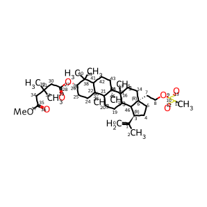 C=C(C)[C@@H]1CC[C@]2(CCOS(C)(=O)=O)CC[C@]3(C)C(CCC4[C@@]5(C)CC[C@H](OC(=O)CC(C)(C)CC(=O)OC)C(C)(C)C5CC[C@]43C)C12